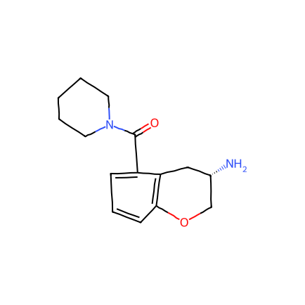 N[C@@H]1COc2cccc(C(=O)N3CCCCC3)c2C1